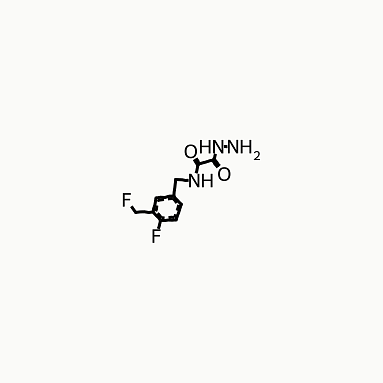 NNC(=O)C(=O)NCc1ccc(F)c(CF)c1